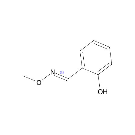 CO/N=C/c1ccccc1O